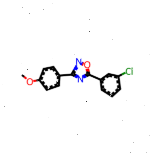 COc1ccc(-c2noc(-c3cccc(Cl)c3)n2)cc1